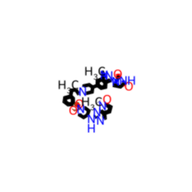 CC(Cc1cccc(S(=O)(=O)N2CCC(Nc3ncc4ccc(=O)n(C)c4n3)CC2)c1)CN1CCC(c2ccc3c(N4CCC(=O)NC4=O)nn(C)c3c2)CC1